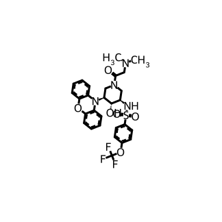 CN(C)CC(=O)N1C[C@@H](NS(=O)(=O)c2ccc(OC(F)(F)F)cc2)[C@H](O)[C@@H](N2c3ccccc3Oc3ccccc32)C1